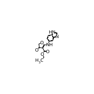 CCOC(=O)C1=C(Nc2ccc3[nH]cnc3c2)OCC1=O